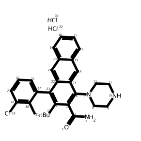 CCCCc1c(C(N)=O)c(N2CCNCC2)c2cc3ccccc3cc2c1-c1cccc(Cl)c1C.Cl.Cl